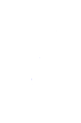 CC(=O)c1ccc(-c2cnc(OCCNC(=O)OC(C)(C)C)c(Cl)c2)s1